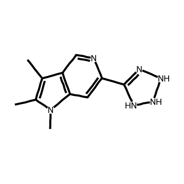 Cc1c(C)n(C)c2cc(C3=NNNN3)ncc12